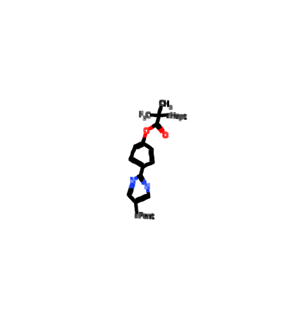 CCCCCCCC(C)(C(=O)Oc1ccc(-c2ncc(CCCCC)cn2)cc1)C(F)(F)F